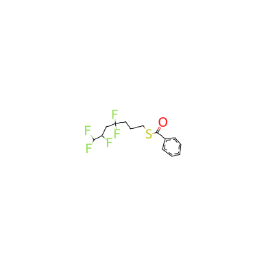 O=C(SCCCC(F)(F)CC(F)C(F)F)c1ccccc1